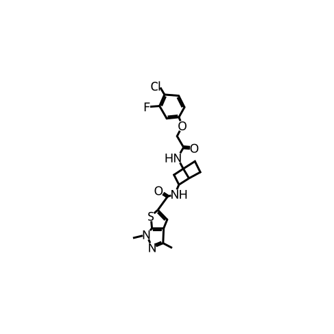 Cc1nn(C)c2sc(C(=O)NC3CC4(NC(=O)COc5ccc(Cl)c(F)c5)CCC34)cc12